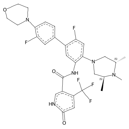 C[C@H]1CN(c2cc(F)c(-c3ccc(N4CCOCC4)c(F)c3)cc2NC(=O)c2c[nH]c(=O)cc2C(F)(F)F)C[C@H](C)N1C